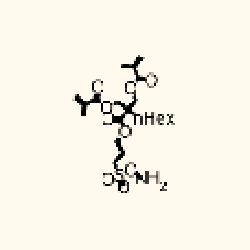 C=C(C)C(=O)OCC(CCCCCC)(COC(=O)C(=C)C)C(=O)OCCCS(=O)(=O)ON